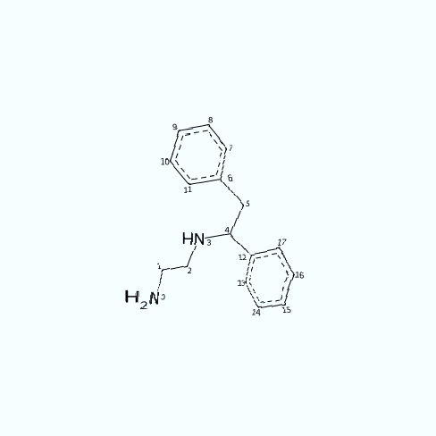 NCCNC(Cc1ccccc1)c1ccccc1